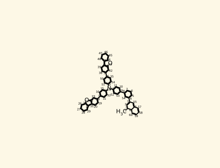 CC1C=C(c2cccc(-c3ccc(N(c4ccc(-c5ccc6c(c5)oc5ccccc56)cc4)c4ccc(-c5ccc6c(c5)oc5ccccc56)cc4)cc3)c2)C=C2C=CC=CC21